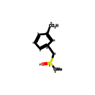 COS(=O)Cc1cccc(C(=O)O)c1